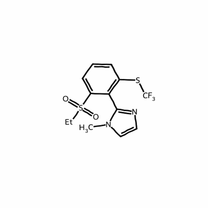 CCS(=O)(=O)c1cccc(SC(F)(F)F)c1-c1nccn1C